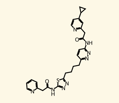 O=C(Cc1cc(C2CC2)ccn1)Nc1ccc(CCCCc2nnc(NC(=O)Cc3ccccn3)s2)nn1